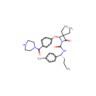 CCC[C@@H](NC(=O)N1C(=O)C(CC)(CC)[C@@H]1Oc1ccc(C(=O)N2CCNCC2)cc1)c1ccc(C)cc1